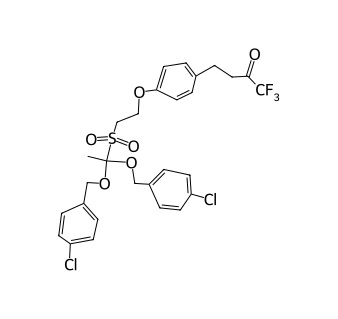 CC(OCc1ccc(Cl)cc1)(OCc1ccc(Cl)cc1)S(=O)(=O)CCOc1ccc(CCC(=O)C(F)(F)F)cc1